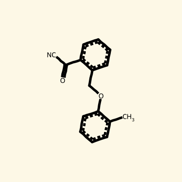 Cc1ccccc1OCc1ccccc1C(=O)C#N